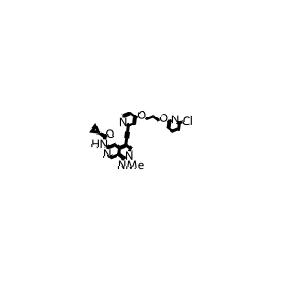 CNc1ncc(C#Cc2cc(OCCCOc3cccc(Cl)n3)ccn2)c2cc(NC(=O)C3CC3)ncc12